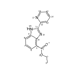 CCOC(=O)c1cccc2[nH]c(-c3ccccn3)nc12